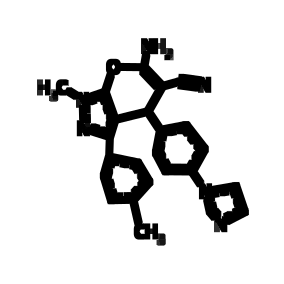 Cc1ccc(-c2nn(C)c3c2C(c2ccc(-n4ccnc4)cc2)C(C#N)=C(N)O3)cc1